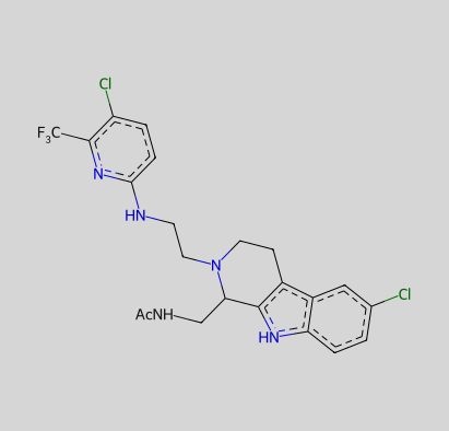 CC(=O)NCC1c2[nH]c3ccc(Cl)cc3c2CCN1CCNc1ccc(Cl)c(C(F)(F)F)n1